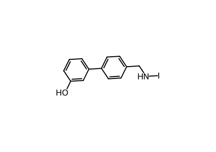 Oc1cccc(-c2ccc(CNI)cc2)c1